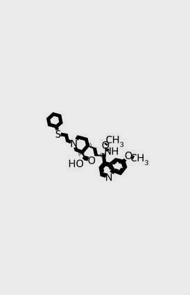 CON[C@H](CC[C@@H]1CCN(CCSC2CCCCC2)C[C@@H]1C(=O)O)c1ccnc2ccc(OC)cc12